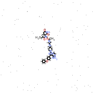 C=C(CC)C(=O)N(COC(C)N1CC(N2CC3(CCN(c4nc(-c5ccc(Oc6ccccc6)cc5)c5c(N)nccn45)CC3)C2)C1)C1CCC(=O)NC1=O